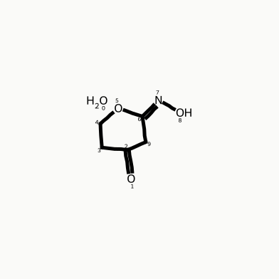 O.O=C1CCOC(=NO)C1